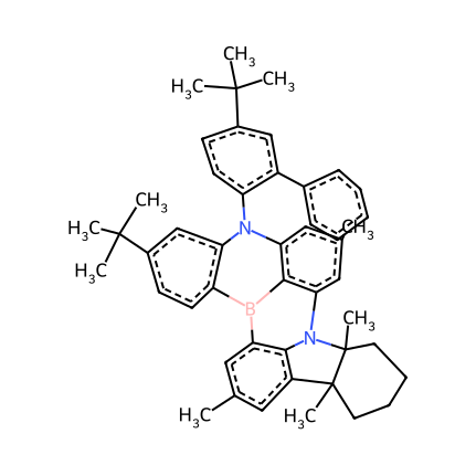 Cc1cc2c3c(c1)N1c4c(cc(C)cc4C4(C)CCCCC14C)B3c1ccc(C(C)(C)C)cc1N2c1ccc(C(C)(C)C)cc1-c1ccccc1